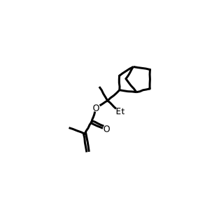 C=C(C)C(=O)OC(C)(CC)C1CC2CCC1C2